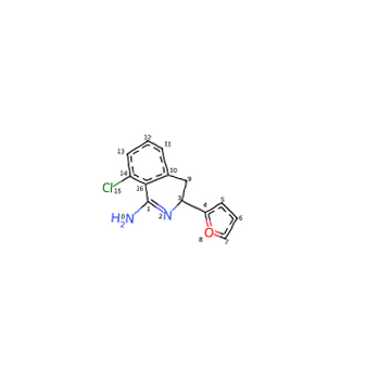 NC1=NC(c2ccco2)Cc2cccc(Cl)c21